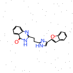 O=c1[nH]c(CCc2nc(-c3cc4ccccc4o3)c[nH]2)nc2ccccc12